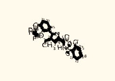 C/C=C1\C=C(C(=O)NS(=O)(=O)c2ccccc2Cl)N=C1c1cccc2c1OC(F)(F)O2